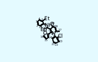 CCc1cccc(CC)c1NC(=O)c1c(-c2ccco2)n(-c2ccccc2Cl)c(C)cc1=O